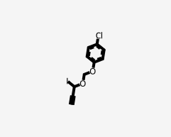 C#CC(I)OCOc1ccc(Cl)cc1